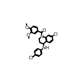 COc1ccc(C(=O)N2CCC(Nc3ccc(Cl)cc3)c3ccc(Cl)cc32)cc1OC